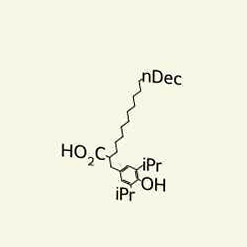 CCCCCCCCCCCCCCCCCCCCC(Cc1cc(C(C)C)c(O)c(C(C)C)c1)C(=O)O